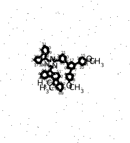 COc1ccc(-c2cc(-c3ccc(OC)cc3)cc(-c3cccc(-c4nc(C5c6ccccc6-c6ccccc65)nc(C5c6ccccc6-c6c5ccc5c6C(C)(C)c6ccccc6-5)n4)c3)c2)cc1